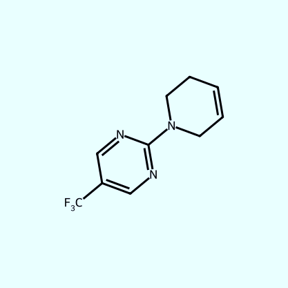 FC(F)(F)c1cnc(N2CC=CCC2)nc1